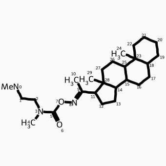 CNCCN(C)C(=O)O/N=C(\C)C1CCC2C3CCC4CCCCC4(C)C3CCC12C